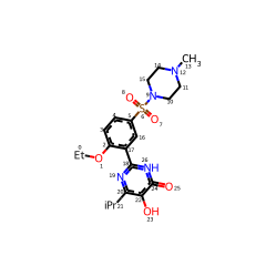 CCOc1ccc(S(=O)(=O)N2CCN(C)CC2)cc1-c1nc(C(C)C)c(O)c(=O)[nH]1